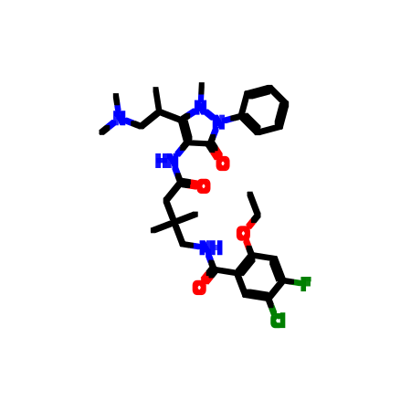 CCOc1cc(F)c(Cl)cc1C(=O)NCC(C)(C)CC(=O)Nc1c(C(C)CN(C)C)n(C)n(-c2ccccc2)c1=O